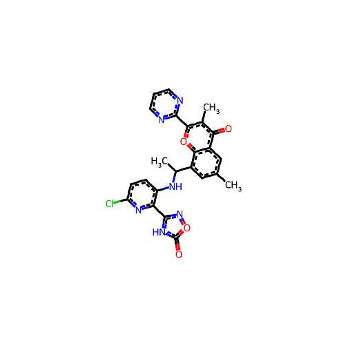 Cc1cc(C(C)Nc2ccc(Cl)nc2-c2noc(=O)[nH]2)c2oc(-c3ncccn3)c(C)c(=O)c2c1